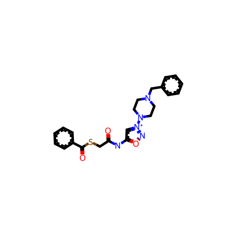 O=C(CSC(=O)c1ccccc1)[N-]c1c[n+](N2CCN(Cc3ccccc3)CC2)no1